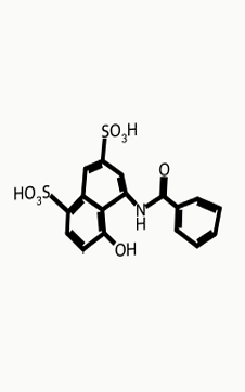 O=C(Nc1cc(S(=O)(=O)O)cc2c(S(=O)(=O)O)c[c]c(O)c12)c1ccccc1